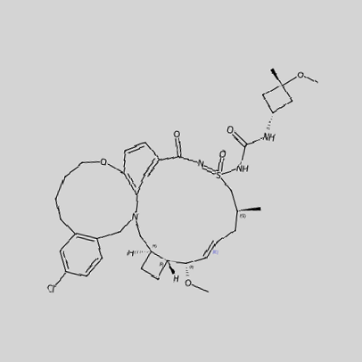 CO[C@H]1/C=C/C[C@H](C)CS(=O)(NC(=O)N[C@H]2C[C@@](C)(OC)C2)=NC(=O)c2ccc3c(c2)N(Cc2ccc(Cl)cc2CCCCO3)C[C@@H]2CC[C@H]21